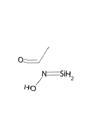 CC=O.ON=[SiH2]